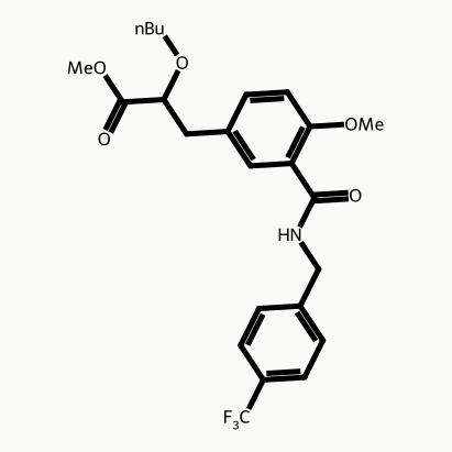 CCCCOC(Cc1ccc(OC)c(C(=O)NCc2ccc(C(F)(F)F)cc2)c1)C(=O)OC